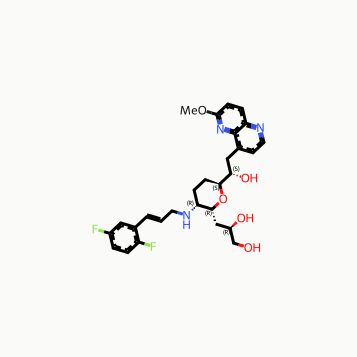 COc1ccc2nccc(C[C@H](O)[C@@H]3CC[C@@H](NCC=Cc4cc(F)ccc4F)[C@@H](C[C@@H](O)CO)O3)c2n1